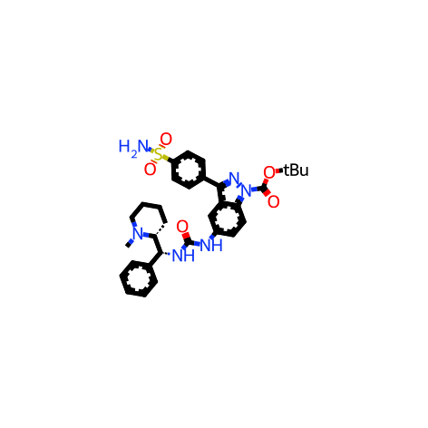 CN1CCCC[C@@H]1[C@H](NC(=O)Nc1ccc2c(c1)c(-c1ccc(S(N)(=O)=O)cc1)nn2C(=O)OC(C)(C)C)c1ccccc1